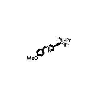 COc1ccc(Cn2cc(C#C[Si](C(C)C)(C(C)C)C(C)C)cn2)cc1